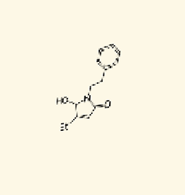 CCC1=CC(=O)N(CCc2ccccc2)C1O